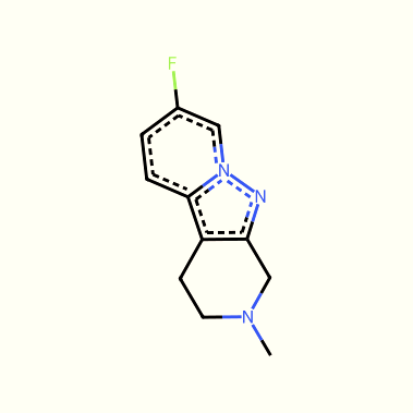 CN1CCc2c(nn3cc(F)ccc23)C1